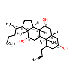 C=CCC1C[C@@H](O)C[C@H]2C[C@@H](O)[C@@H]3[C@H](C[C@H](O)[C@]4(C)[C@@H]([C@H](C)CCC(=O)O)CC[C@@H]34)[C@@]12C